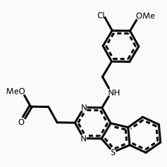 COC(=O)CCc1nc(NCc2ccc(OC)c(Cl)c2)c2c(n1)sc1ccccc12